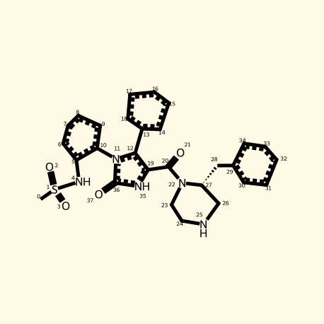 CS(=O)(=O)Nc1ccccc1-n1c(-c2ccccc2)c(C(=O)N2CCNC[C@H]2Cc2ccccc2)[nH]c1=O